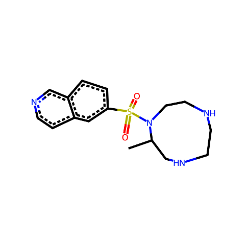 CC1CNCCNCCN1S(=O)(=O)c1ccc2cnccc2c1